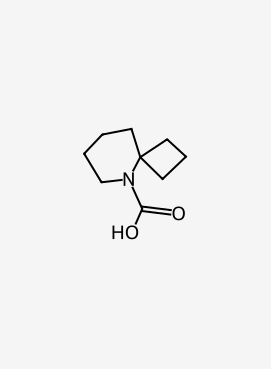 O=C(O)N1CCCCC12CCC2